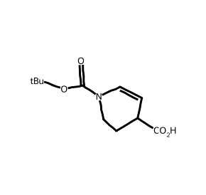 CC(C)(C)OC(=O)N1C=CC(C(=O)O)CC1